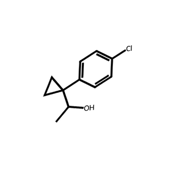 CC(O)C1(c2ccc(Cl)cc2)CC1